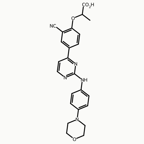 CC(Oc1ccc(-c2ccnc(Nc3ccc(N4CCOCC4)cc3)n2)cc1C#N)C(=O)O